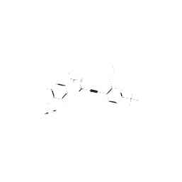 CCCCc1nc(C(F)(F)F)ccc1C#CC(=O)N[C@H](C)c1cc(F)c(NS(C)(=O)=O)c(F)c1